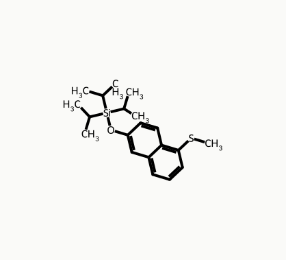 CSc1cccc2cc(O[Si](C(C)C)(C(C)C)C(C)C)ccc12